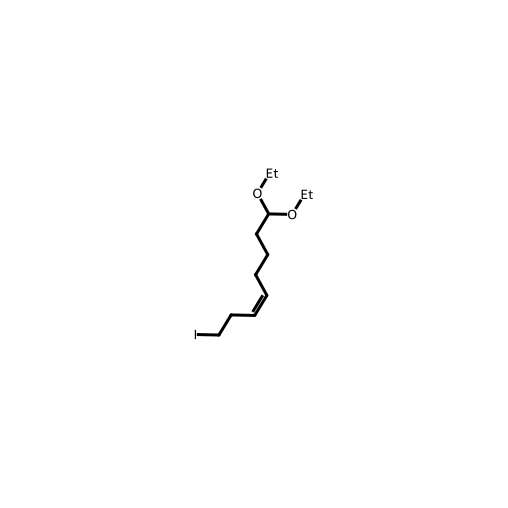 CCOC(CCC/C=C\CCI)OCC